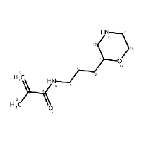 C=C(C)C(=O)NCCCC1CNCCO1